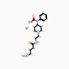 CCC(=O)N(c1ccccc1)C1CCN(CCNC(=O)CCCC(=O)[O-])CC1.[Li+]